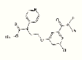 CC(C)N(C(=O)c1cc(Cl)cc(OCCN(C(=O)OC(C)(C)C)c2ccncc2)c1)C(C)C